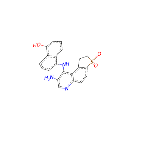 Nc1cnc2ccc3c(c2c1Nc1cccc2c(O)cccc12)CCS3(=O)=O